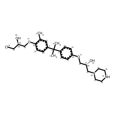 Cc1cc(C(C)(C)c2ccc(OC[C@H](O)CN3CCNCC3)cc2)ccc1OC[C@H](O)CCl